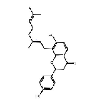 CC(C)=CCC/C(C)=C/Cc1c(O)ccc2c1OC(c1ccc(O)cc1)CC2=O